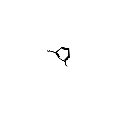 CC(=O)c1cccc(Cl)n1